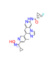 Cc1cc(/C(=N\O)C2CC2)ncc1-c1cc2cnc(NC(=O)[C@@H]3C[C@@H]3F)cc2n2ccnc12